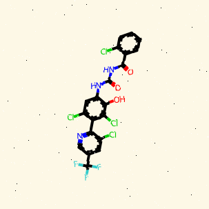 O=C(NC(=O)c1ccccc1Cl)Nc1cc(Cl)c(-c2ncc(C(F)(F)F)cc2Cl)c(Cl)c1O